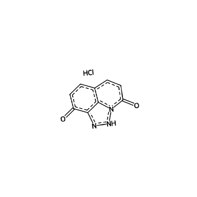 Cl.O=c1ccc2ccc(=O)n3[nH]nc1c23